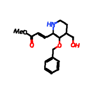 COC(=O)C=CC1NCCC(CO)C1OCc1ccccc1